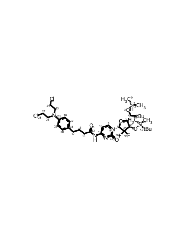 C[SiH](C)OC([C@H]1O[C@@H](n2ccc(NC(=O)CCCc3ccc(N(CCCl)CCCl)cc3)nc2=O)C(F)(F)[C@@H]1O[Si](C)(C)C(C)(C)C)C(C)(C)C